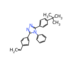 C=Cc1ccc(-c2nnc(-c3ccc(C(C)(C)C)cc3)n2-c2ccccc2)cc1